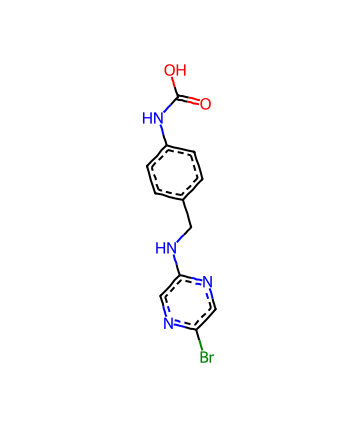 O=C(O)Nc1ccc(CNc2cnc(Br)cn2)cc1